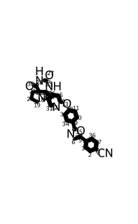 N#Cc1ccc(-c2cnc(-c3ccc(Oc4ccc(N5CCCC56C(=O)NC(=O)NC6=O)cn4)cc3)o2)cc1